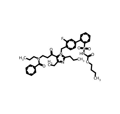 CCCCOC(=O)NS(=O)(=O)c1ccccc1-c1ccc(Cn2c(CCC)nc(CC)c2C(=O)CCN(CCC)C(=O)c2ccccc2)c(F)c1